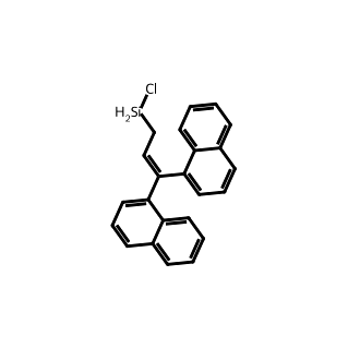 Cl[SiH2]CC=C(c1cccc2ccccc12)c1cccc2ccccc12